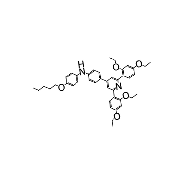 CCCCCOc1ccc(Nc2ccc(-c3cc(-c4ccc(OCC)cc4OCC)nc(-c4ccc(OCC)cc4OCC)c3)cc2)cc1